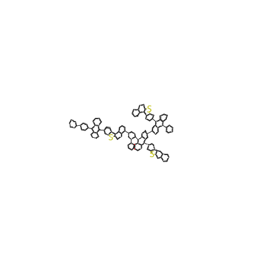 c1ccc(-c2ccc(-c3c4ccccc4c(-c4ccc5c(c4)sc4ccc6c(-c7ccc(-c8c9ccccc9c(-c9ccc%10c(c9)sc9cc%11ccccc%11cc9%10)c9cc(-c%10ccc%11c(-c%12ccccc%12)c%12ccccc%12c(-c%12ccc%13c(c%12)sc%12ccc%14ccccc%14c%12%13)c%11c%10)ccc89)c(-c8ccccc8)c7)cccc6c45)c4ccccc34)cc2)cc1